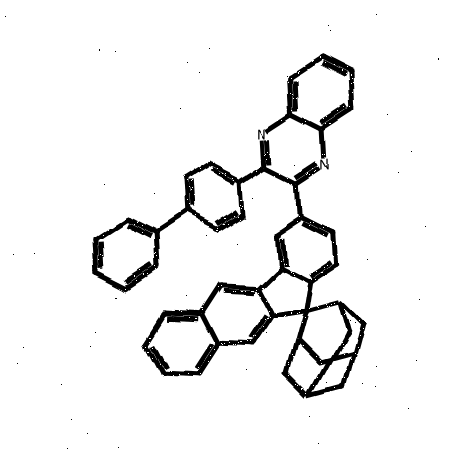 c1ccc(-c2ccc(-c3nc4ccccc4nc3-c3ccc4c(c3)-c3cc5ccccc5cc3C43C4CC5CC(C4)CC3C5)cc2)cc1